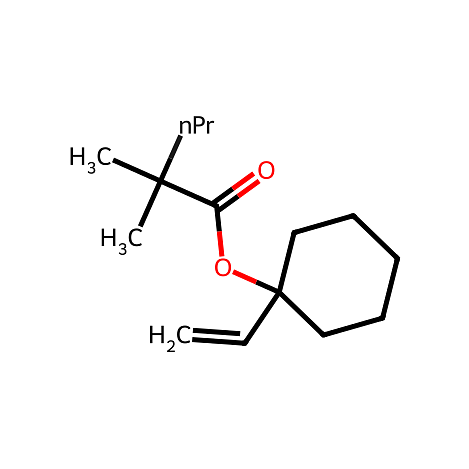 C=CC1(OC(=O)C(C)(C)CCC)CCCCC1